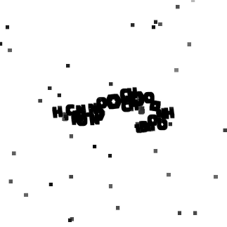 Cc1noc(-c2nccc(Oc3ccc(C(C)(C)c4ccc(OC5CC(NC(=O)OC(C)(C)C)C5)cc4)cc3)n2)n1